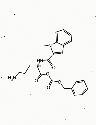 Cn1c(C(=O)N[C@@H](CCCN)C(=O)OC(=O)OCc2ccccc2)cc2ccccc21